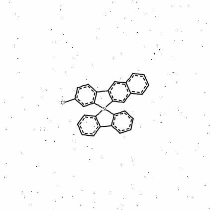 Clc1ccc2c(c1)[Si]1(c3ccccc3-c3ccccc31)c1cc3ccccc3cc1-2